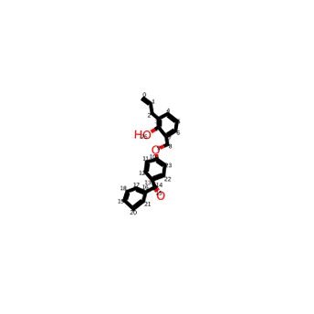 C=CCc1cccc(COc2ccc(C(=O)c3ccccc3)cc2)c1O